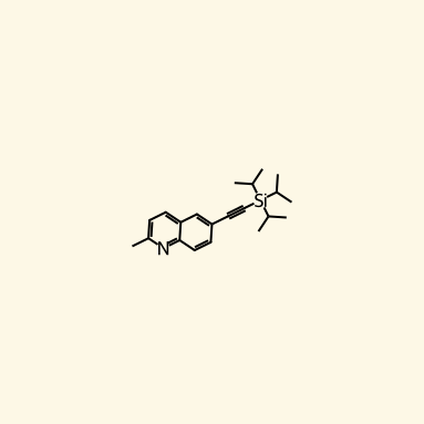 Cc1ccc2cc(C#C[Si](C(C)C)(C(C)C)C(C)C)ccc2n1